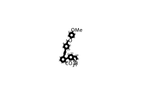 COc1ccc(OCc2ccc(C#Cc3cccc(C(=O)O)c3-c3ccc4cc[nH]c4c3)cc2)cc1